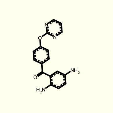 Nc1ccc(N)c(C(=O)c2ccc(Oc3ncccn3)cc2)c1